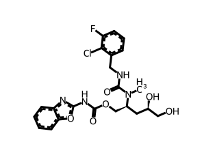 CN(C(=O)NCc1cccc(F)c1Cl)[C@H](COC(=O)Nc1nc2ccccc2o1)C[C@@H](O)CO